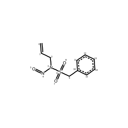 C=CCN(N=O)S(=O)(=O)Cc1ccccc1